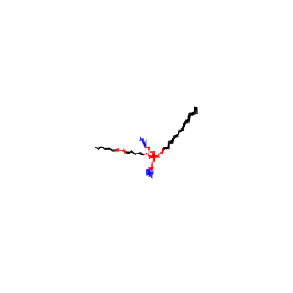 CCCCCCCCCCCCCCOCC(CCCCCCCCOCCCCCCC)(COCC[N+](C)(C)C)COCC[N+](C)(C)C